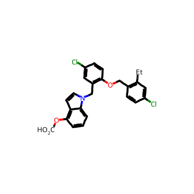 CCc1cc(Cl)ccc1COc1ccc(Cl)cc1Cn1ccc2c(OC(=O)O)cccc21